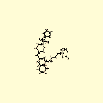 CN(C)CCCNc1nc(CN2CCN(S(=O)(=O)c3cccs3)CC2)nc2ccccc12